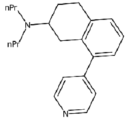 CCCN(CCC)C1CCc2cccc(-c3ccncc3)c2C1